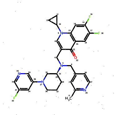 Cc1cc(CN(Cc2cn(C3CC3)c3cc(F)c(F)cc3c2=O)[C@H]2CCCN(c3cncc(F)c3)C2)ccn1